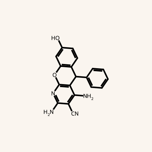 N#Cc1c(N)nc2c(c1N)C(c1ccccc1)c1ccc(O)cc1O2